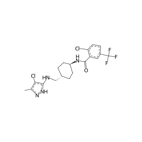 Cc1n[nH]c(NC[C@H]2CC[C@H](NC(=O)c3cc(C(F)(F)F)ccc3Cl)CC2)c1Cl